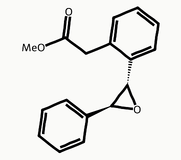 COC(=O)Cc1ccccc1[C@@H]1O[C@H]1c1ccccc1